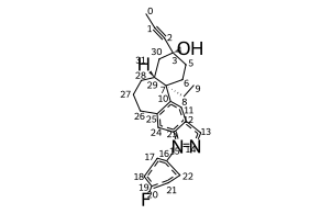 CC#C[C@@]1(O)CC[C@@]2(CC)c3cc4cnn(-c5ccc(F)cc5)c4cc3CCC[C@@H]2C1